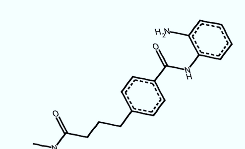 CNC(=O)CCCc1ccc(C(=O)Nc2ccccc2N)cc1